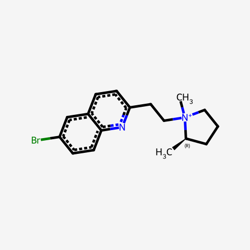 C[C@@H]1CCC[N+]1(C)CCc1ccc2cc(Br)ccc2n1